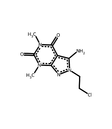 Cn1c(=O)c2c(N)n(CCCl)nc2n(C)c1=O